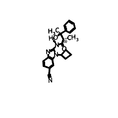 C[C@H](C(=O)N(I)c1nc2ccc(C#N)cc2n1C1CCC1)[C@@](C)(O)c1ccccc1